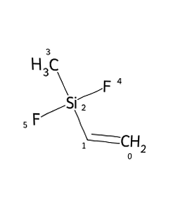 C=C[Si](C)(F)F